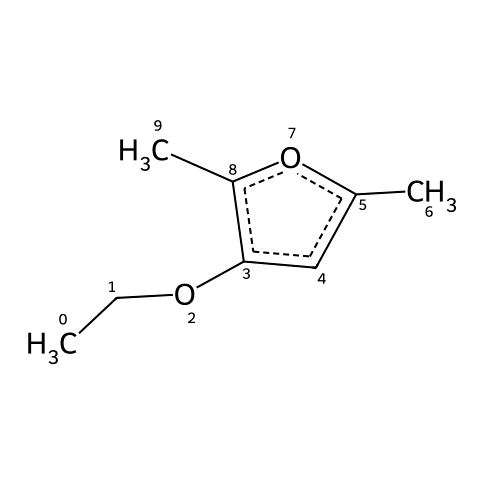 CCOc1cc(C)oc1C